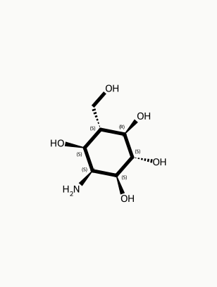 N[C@H]1[C@@H](O)[C@H](CO)[C@@H](O)[C@H](O)[C@H]1O